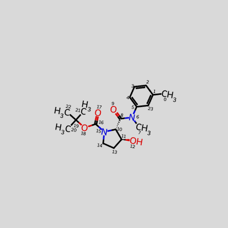 Cc1cccc(N(C)C(=O)[C@@H]2[C@@H](O)CCN2C(=O)OC(C)(C)C)c1